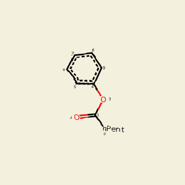 CCCCCC(=O)Oc1cc[c]cc1